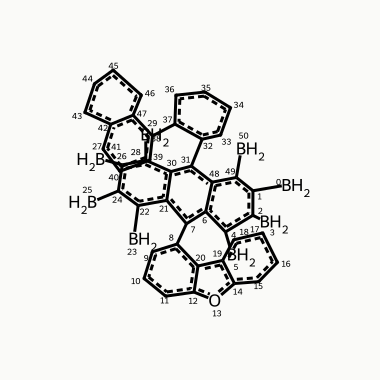 Bc1c(B)c(B)c2c(-c3cccc4oc5ccccc5c34)c3c(B)c(B)c(B)c(B)c3c(-c3ccccc3-c3cccc4ccccc34)c2c1B